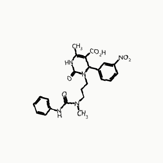 CC1=C(C(=O)O)C(c2cccc([N+](=O)[O-])c2)N(CCCN(C)C(=O)Nc2ccccc2)C(=O)N1